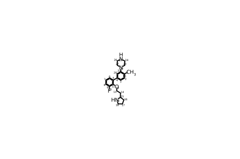 Cc1ccc(-c2cccc(F)c2OCCC2CCCN2)cc1N1CCNCC1